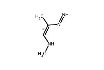 CN/C=C(/C)N=N